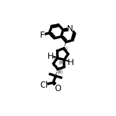 CC(C)(C(=O)Cl)[C@H]1C[C@H]2C[C@@H](c3ccnc4ccc(F)cc34)C[C@H]2C1